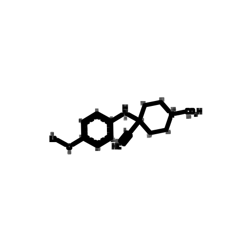 C#CC1(Nc2ccc(OCC)cc2)CCN(C(=O)O)CC1